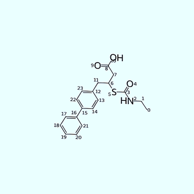 CCNC(=O)SC(CC(=O)O)Cc1ccc(-c2ccccc2)cc1